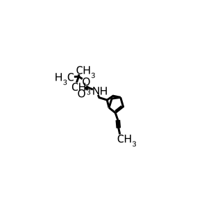 CC#CC1=CC2CC(CNC(=O)OC(C)(C)C)C1C2